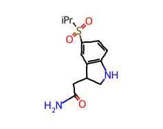 CC(C)S(=O)(=O)c1ccc2c(c1)C(CC(N)=O)CN2